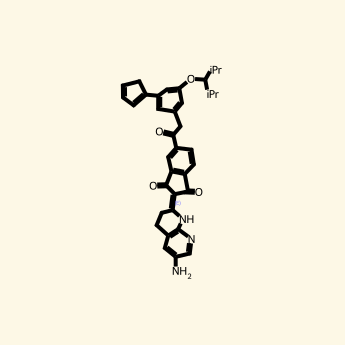 CC(C)C(Oc1cc(CC(=O)c2ccc3c(c2)C(=O)/C(=C2\CCc4cc(N)cnc4N2)C3=O)cc(C2=CC=CC2)c1)C(C)C